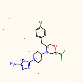 Nc1nnc(N2CCC(N3C[C@H](C(F)F)OC[C@@H]3Cc3ccc(Cl)cc3)CC2)[nH]1